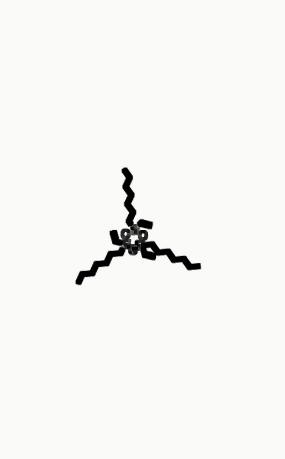 C=C[Si]1(CCCCCCC)O[Si](C=C)(CCCCCCC)O[Si](C=C)(CCCCCCC)O1